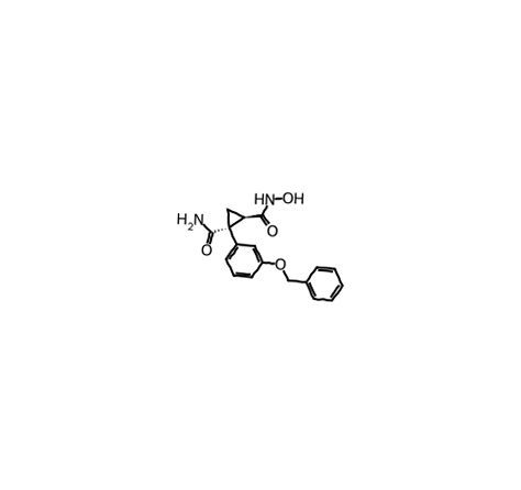 NC(=O)[C@]1(c2cccc(OCc3ccccc3)c2)C[C@H]1C(=O)NO